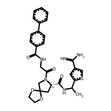 CC(NC(=O)[C@@H]1CC2(CN1C(=O)CNC(=O)c1ccc(-c3ccccc3)cc1)OCCO2)c1cc(C(=N)N)cs1